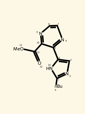 CCCCc1ncc(-c2nccnc2C(=O)OC)[nH]1